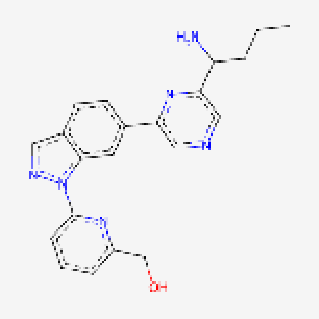 CCCC(N)c1cncc(-c2ccc3cnn(-c4cccc(CO)n4)c3c2)n1